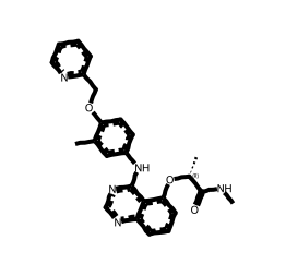 CNC(=O)[C@@H](C)Oc1cccc2ncnc(Nc3ccc(OCc4ccccn4)c(C)c3)c12